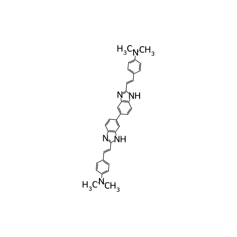 CN(C)c1ccc(C=Cc2nc3cc(-c4ccc5nc(C=Cc6ccc(N(C)C)cc6)[nH]c5c4)ccc3[nH]2)cc1